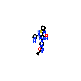 O=c1[nH]c(N2CCN(c3nnc(C4CC4)o3)CC2)nc(NC2CCCNC2)c1-c1nc2ccccc2s1